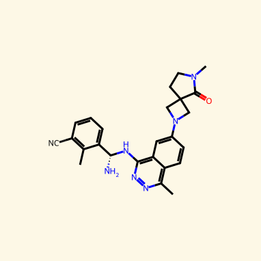 Cc1c(C#N)cccc1[C@@H](N)Nc1nnc(C)c2ccc(N3CC4(CCN(C)C4=O)C3)cc12